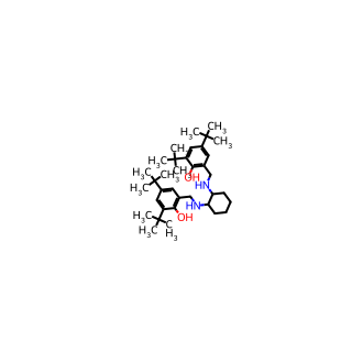 CC(C)(C)c1cc(CNC2CCCCC2NCc2cc(C(C)(C)C)cc(C(C)(C)C)c2O)c(O)c(C(C)(C)C)c1